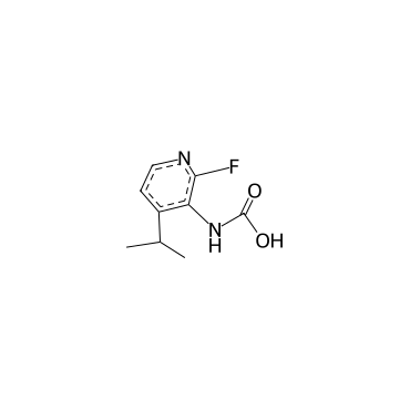 CC(C)c1ccnc(F)c1NC(=O)O